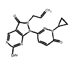 C=CCn1c(=O)c2cnc(SC)nc2n1-c1ccc(=O)n(C2CC2)n1